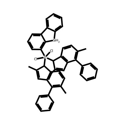 CC1=Cc2c(ccc(C)c2-c2ccccc2)[CH]1[Zr]([Cl])([Cl])([c]1cccc2c1[SiH2]c1ccccc1-2)[CH]1C(C)=Cc2c1ccc(C)c2-c1ccccc1